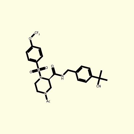 CC(=O)N1CCN(S(=O)(=O)c2ccc(OC(F)(F)F)cc2)[C@@H](C(=O)NCc2ccc(C(C)(C)C#N)cc2)C1